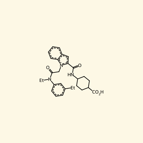 CCc1cccc(N(CC)C(=O)Cn2c(C(=O)NC3CCC(C(=O)O)CC3)cc3ccccc32)c1